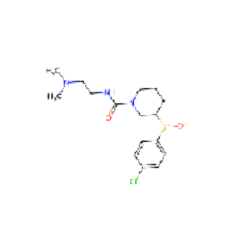 CN(C)CCNC(=O)N1CCCC([S+]([O-])c2ccc(Cl)cc2)C1